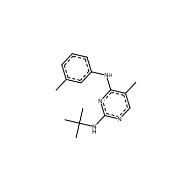 Cc1cccc(Nc2nc(NC(C)(C)C)ncc2C)c1